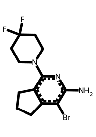 Nc1nc(N2CCC(F)(F)CC2)c2c(c1Br)CCC2